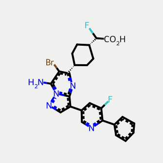 Nc1c(Br)c([C@H]2CC[C@@H](C(F)C(=O)O)CC2)nc2c(-c3cnc(-c4ccccc4)c(F)c3)cnn12